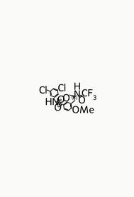 COc1ccc(S(=O)(=O)Nc2cc(Cl)cc(Cl)c2)c2c1C[C@@H](NC(=O)C(F)(F)F)CO2